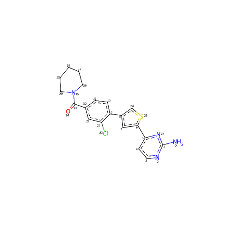 Nc1nccc(-c2cc(-c3ccc(C(=O)N4CCCCC4)cc3Cl)cs2)n1